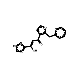 O=C(C=C(O)c1nc[nH]n1)c1ccoc1Cc1ccccn1